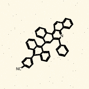 N#Cc1ccc(-c2c3ccccc3c(-c3cc4c(-c5ccccc5)nc5c6ccccc6ccc5c4c4ccccc34)c3ccccc23)cc1